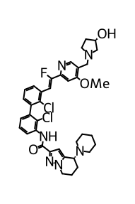 COc1cc(/C(F)=C/c2cccc(-c3cccc(NC(=O)c4cc5n(n4)CCC[C@H]5N4CCCCC4)c3Cl)c2Cl)ncc1CN1CC[C@@H](O)C1